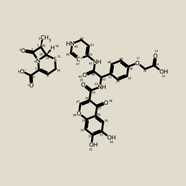 C[C@@H]1C(=O)N2C(C(=O)[O-])=CCS[C@@H]12.O=C(O)COc1ccc(C(NC(=O)c2coc3cc(O)c(O)cc3c2=O)C(=O)NC2=CCNC=[C+]2)cc1